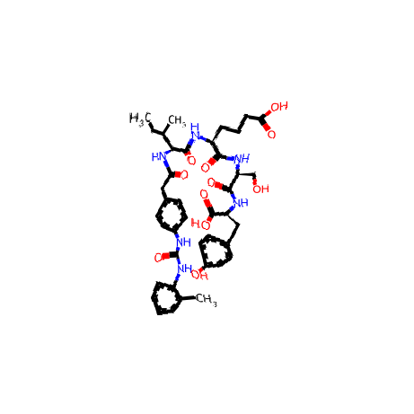 CCC(C)[C@H](NC(=O)Cc1ccc(NC(=O)Nc2ccccc2C)cc1)C(=O)N[C@@H](CCCC(=O)O)C(=O)N[C@@H](CO)C(=O)N[C@@H](Cc1ccc(O)cc1)C(=O)O